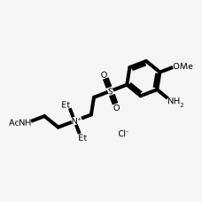 CC[N+](CC)(CCNC(C)=O)CCS(=O)(=O)c1ccc(OC)c(N)c1.[Cl-]